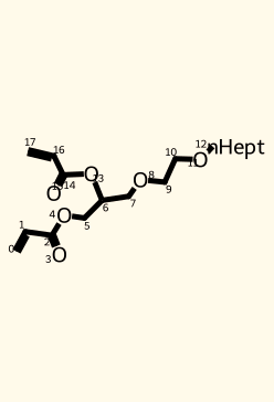 C=CC(=O)OCC(COCCOCCCCCCC)OC(=O)C=C